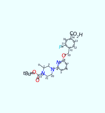 CC1CN(c2cccc(OCc3ccc(C(=O)O)cc3F)n2)CCN1C(=O)OC(C)(C)C